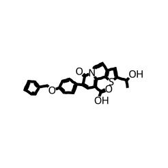 CC(O)c1cc2ccn3c(=O)c(-c4ccc(OCc5ccccc5)cc4)cc(C(=O)O)c3c2s1